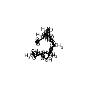 CC[C@H](O)[C@@H](C)[C@H]1O[C@@H]1C[C@@](C)(O)/C=C/C=C(\C)[C@H]1OC(=O)C[C@H](O)CC[C@@](C)(O)[C@@H](OC(=O)N2CCN(CCN(C)C(=O)Oc3ccc(NC(=O)[C@H](CCCNC(N)=O)NC(=O)[C@@H](NC(=O)CCCCCN4C(=O)C=CC4=O)C(C)C)cc3)CC2)/C=C/[C@@H]1C